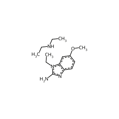 CCNCC.CCn1c(N)nc2ccc(OC)cc21